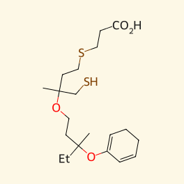 CCC(C)(CCOC(C)(CS)CCSCCC(=O)O)OC1=CCCC=C1